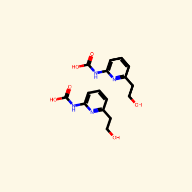 O=C(O)Nc1cccc(CCO)n1.O=C(O)Nc1cccc(CCO)n1